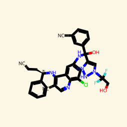 N#CCC[C@@H](Nc1c(C#N)cnc2c(Cl)cc(NC(O)(C3=CN(C(F)(F)CO)NN3)c3cccc(C#N)c3)cc12)c1ccccc1